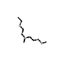 CCOCCN(C)CCCOC